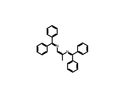 CC(=CN=C(c1ccccc1)c1ccccc1)N=C(c1ccccc1)c1ccccc1